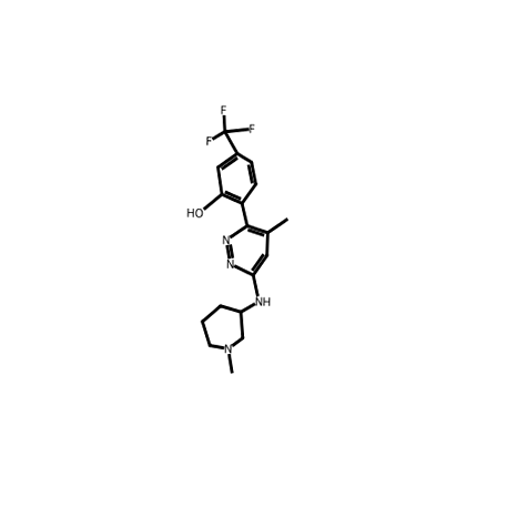 Cc1cc(NC2CCCN(C)C2)nnc1-c1ccc(C(F)(F)F)cc1O